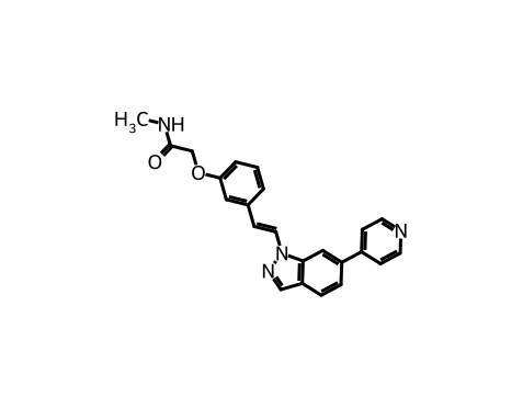 CNC(=O)COc1cccc(C=Cn2ncc3ccc(-c4ccncc4)cc32)c1